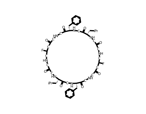 CC(C)C[C@@H]1NCC(=O)CNCC(F)CC(=O)CNCC(=O)[C@H](Cc2ccccc2)NCC(=O)[C@H](CC(C)C)NCC(=O)CNCC(F)CC(=O)CNCC(=O)[C@H](Cc2ccccc2)NCC1=O